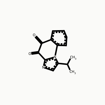 CC(C)c1cnc2n1-c1ccccc1C(=O)C2=O